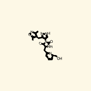 Cc1noc(C)c1Cc1n[nH]cc1N1C(=O)NC(Cc2cccc(CO)n2)C1=O